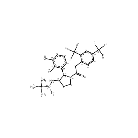 CC(C)(C)[S@@+]([O-])N[C@@H]1CCN(C(=O)Cc2ncc(C(F)(F)F)cc2C(F)(F)F)[C@@H]1c1cccc(Cl)c1Cl